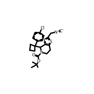 [C-]#[N+]Cc1nc2c(s1)CCN(C(=O)OC(C)(C)C)C2C1(c2ccc(Cl)cc2)CCC1